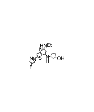 CCNc1cc(N[C@H]2CC[C@H](O)C2)c2sc(-n3cc(F)cn3)cc2n1